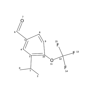 CC(C)c1cc(C=O)ccc1OC(F)(F)F